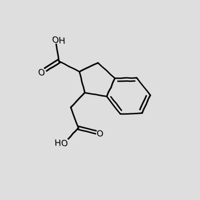 O=C(O)CC1c2ccccc2CC1C(=O)O